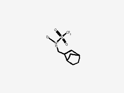 O=S(=O)([NH+]([O-])CC1CC2CCC1C2)C(F)(F)F